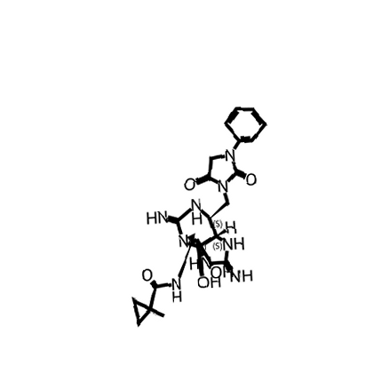 CC1(C(=O)N[C@H]2CN3C(=N)N[C@@H](CN4C(=O)CN(c5ccccc5)C4=O)[C@@H]4NC(=N)N[C@@]43C2(O)O)CC1